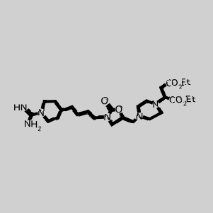 CCOC(=O)CC(C(=O)OCC)N1CCN(CC2CN(CCCCC3CCN(C(=N)N)CC3)C(=O)O2)CC1